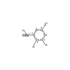 CNc1cc(I)cc(C)c1C